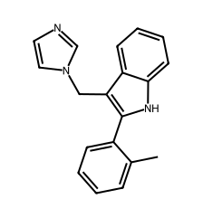 Cc1ccccc1-c1[nH]c2ccccc2c1Cn1ccnc1